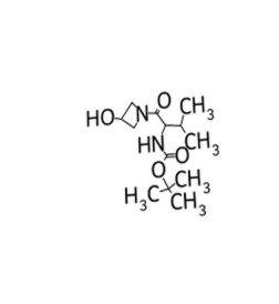 CC(C)C(NC(=O)OC(C)(C)C)C(=O)N1CC(O)C1